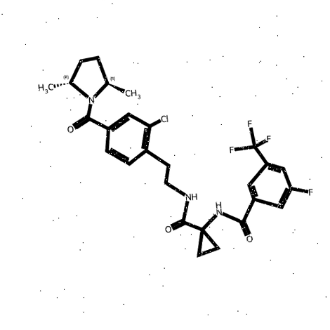 C[C@@H]1CC[C@@H](C)N1C(=O)c1ccc(CCNC(=O)C2(NC(=O)c3cc(F)cc(C(F)(F)F)c3)CC2)c(Cl)c1